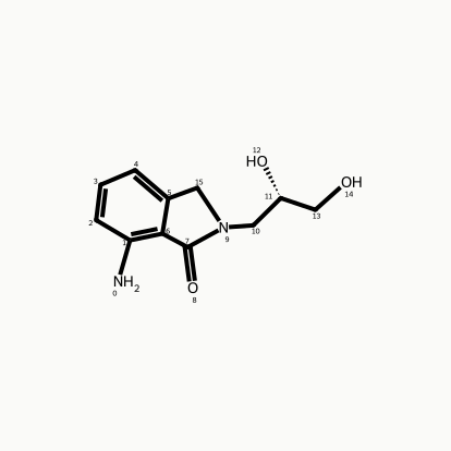 Nc1cccc2c1C(=O)N(C[C@H](O)CO)C2